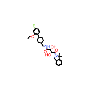 CCOc1cc(F)ccc1C1CCC(CNC(=O)[C@H](O)[C@@H](O)C(=O)N2Cc3ccccc3C2(C)C)CC1